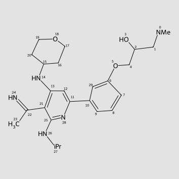 CNCC(O)COc1cccc(-c2cc(NC3CCOCC3)c(C(C)=N)c(NC(C)C)n2)c1